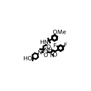 COc1cccc(C(C)(C)NC(=O)CC2(NC(=O)c3cc(-c4ccc(F)cc4F)on3)CN(C3CCC(C)(O)CC3)C2)c1